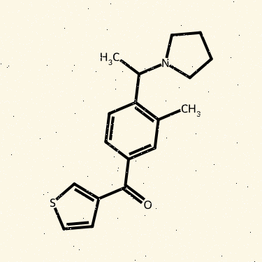 Cc1cc(C(=O)c2ccsc2)ccc1C(C)N1CCCC1